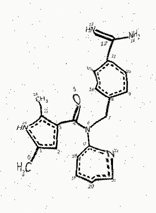 Cc1cc(C(=O)N(Cc2ccc(C(=N)N)cc2)c2ccccn2)c(C)[nH]1